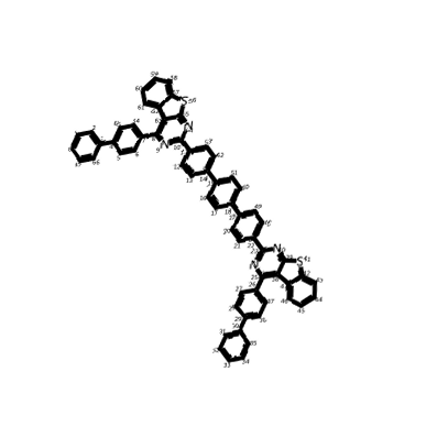 c1ccc(-c2ccc(-c3nc(-c4ccc(-c5ccc(-c6ccc(-c7nc(-c8ccc(-c9ccccc9)cc8)c8c(n7)sc7ccccc78)cc6)cc5)cc4)nc4sc5ccccc5c34)cc2)cc1